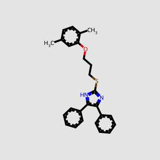 Cc1ccc(C)c(OCCCSc2nc(-c3ccccc3)c(-c3ccccc3)[nH]2)c1